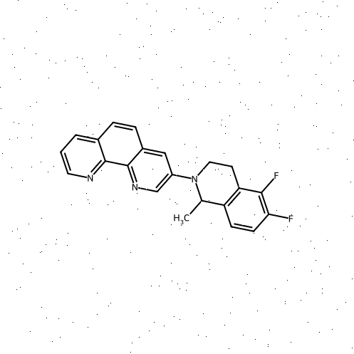 CC1c2ccc(F)c(F)c2CCN1c1cnc2c(ccc3cccnc32)c1